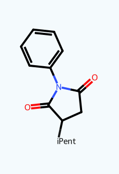 CCCC(C)C1CC(=O)N(c2ccccc2)C1=O